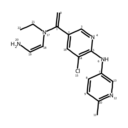 C=C(c1cnc(Nc2ccc(C)nc2)c(Cl)c1)N(/C=C\N)CC